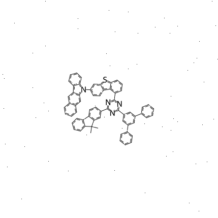 CC1(C)c2ccccc2-c2ccc(-c3nc(-c4cc(-c5ccccc5)cc(-c5ccccc5)c4)nc(-c4cccc5sc6cc(-n7c8ccccc8c8cc9ccccc9cc87)ccc6c45)n3)cc21